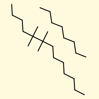 CCCCCCCC.CCCCCCCC(C)(C)C(C)(C)CCCC